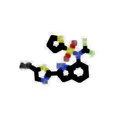 CC(=O)OC1CN=C(c2cc3cccc(N(C(F)F)S(=O)(=O)c4cccs4)c3[nH]2)S1